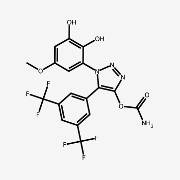 COc1cc(O)c(O)c(-n2nnc(OC(N)=O)c2-c2cc(C(F)(F)F)cc(C(F)(F)F)c2)c1